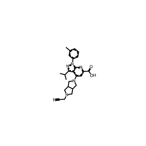 Cc1cccc(-n2nc(C(C)C)c3c(N4CC5CN(CC#N)CC5C4)cc(C(=O)O)nc32)c1